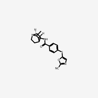 C[C@H]1[C@H](NC(=O)c2ccc(Sc3cnc(C#N)o3)cc2)C2CCN1CC2